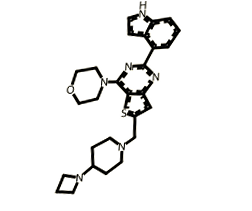 c1cc(-c2nc(N3CCOCC3)c3sc(CN4CCC(N5CCC5)CC4)cc3n2)c2cc[nH]c2c1